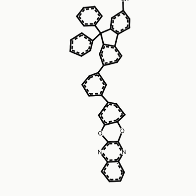 N#Cc1ccc2c(c1)C(c1ccccc1)(c1ccccc1)c1cc(-c3cccc(-c4ccc5c(c4)Oc4nc6ccccc6nc4O5)c3)ccc1-2